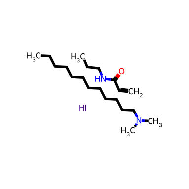 C=CC(=O)NCCC.CCCCCCCCCCCCN(C)C.I